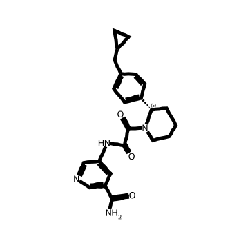 NC(=O)c1cncc(NC(=O)C(=O)N2CCCC[C@H]2c2ccc(CC3CC3)cc2)c1